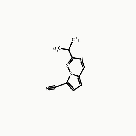 CC(C)c1ncc2ccc(C#N)n2n1